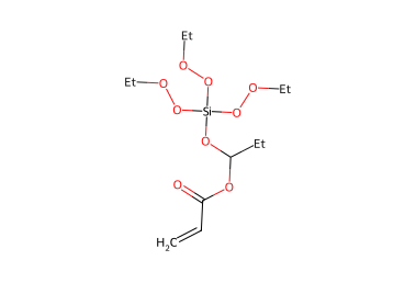 C=CC(=O)OC(CC)O[Si](OOCC)(OOCC)OOCC